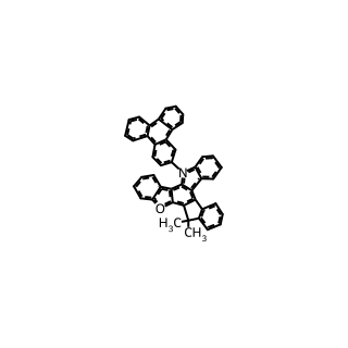 CC1(C)c2ccccc2-c2c1c1oc3ccccc3c1c1c2c2ccccc2n1-c1ccc2c3ccccc3c3ccccc3c2c1